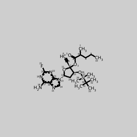 C#C[C@]1(OC(=O)C(C)CCC)O[C@@H](n2cnc3c(N)nc(F)nc32)C[C@@H]1O[Si](C)(C)C(C)(C)C